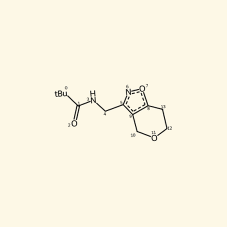 CC(C)(C)C(=O)NCc1noc2c1COCC2